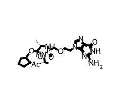 CC(=O)[C@@H](C)NP(=O)(COCCn1cnc2c(=O)[nH]c(N)nc21)N[C@@H](C)C(=O)OC1CCCC1